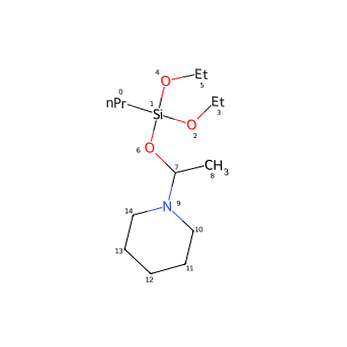 CCC[Si](OCC)(OCC)OC(C)N1CCCCC1